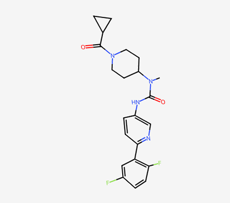 CN(C(=O)Nc1ccc(-c2cc(F)ccc2F)nc1)C1CCN(C(=O)C2CC2)CC1